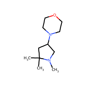 CN1CC(N2CCOCC2)CC1(C)C